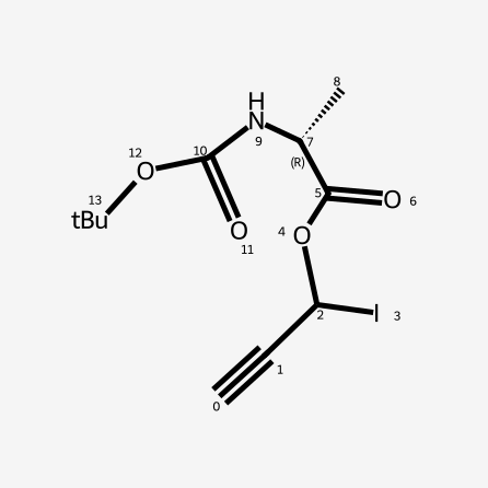 C#CC(I)OC(=O)[C@@H](C)NC(=O)OC(C)(C)C